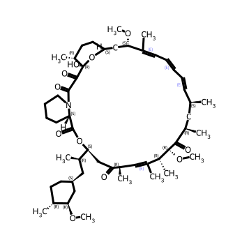 CO[C@H]1C[C@@H]2CC[C@@H](C)[C@@](O)(O2)C(=O)C(=O)N2CCCC[C@H]2C(=O)O[C@H]([C@H](C)C[C@@H]2CC[C@@H](C)[C@H](OC)C2)CC(=O)[C@H](C)/C=C(\C)[C@@H](C)[C@@H](OC)C(=O)[C@H](C)C[C@H](C)/C=C/C=C/C=C/1C